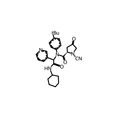 CC(C)(C)c1ccc(N(C(=O)[C@H]2CC(=O)CN2C#N)C(C(=O)NC2CCCCC2)c2cccnc2)cc1